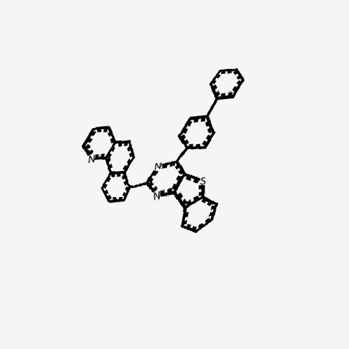 c1ccc(-c2ccc(-c3nc(-c4cccc5c4ccc4cccnc45)nc4c3sc3ccccc34)cc2)cc1